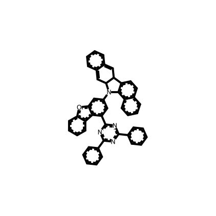 C1=c2ccccc2=CC2C1c1ccc3ccccc3c1N2c1cc(-c2nc(-c3ccccc3)nc(-c3ccccc3)n2)c2c(c1)oc1ccccc12